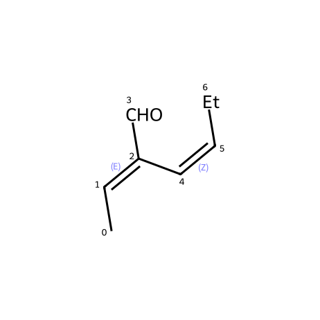 C/C=C(C=O)\C=C/CC